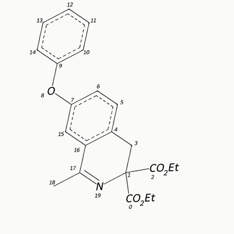 CCOC(=O)C1(C(=O)OCC)Cc2ccc(Oc3ccccc3)cc2C(C)=N1